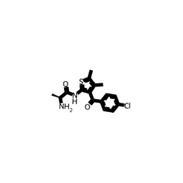 Cc1sc(NC(=O)[C@H](C)N)c(C(=O)c2ccc(Cl)cc2)c1C